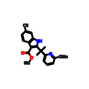 COc1cccc(C(C)(C)c2[nH]c3cc(C#N)ccc3c2C(=O)OC(C)(C)C)n1